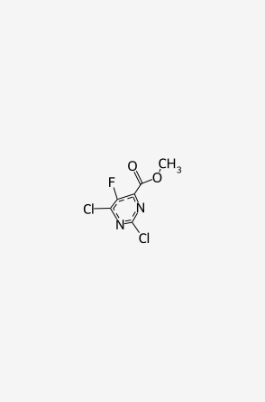 COC(=O)c1nc(Cl)nc(Cl)c1F